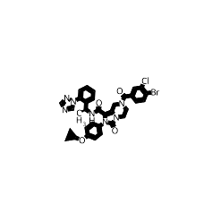 C[C@H](NC(=O)c1c2n(c(=O)n1-c1ccc(OC3CC3)cc1)CCN(C(=O)c1ccc(Br)c(Cl)c1)C2)c1ccccc1-n1cncn1